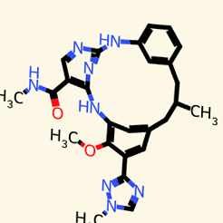 CNC(=O)c1cnc2nc1Nc1cc(cc(-c3ncn(C)n3)c1OC)CC(C)Cc1cccc(c1)N2